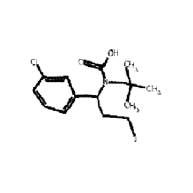 CC(C)(C)N(C(=O)O)C(CCI)c1cccc(Cl)c1